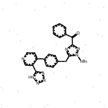 CCCCn1nc(C(=O)c2ccccc2)nc1Cc1ccc(-c2ccncc2-c2nnn[nH]2)cc1